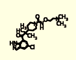 CN(C)CCONC(=O)N1CCC(C(C)(C)[C@H](O)c2cc(Cl)cc3cn[nH]c23)CC1